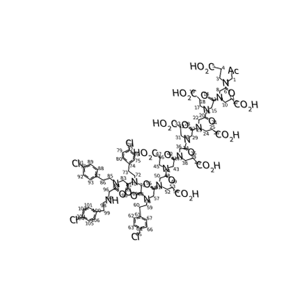 CC(=O)CN(CCC(=O)O)C(=O)CN(CCC(=O)O)C(=O)CN(CCC(=O)O)C(=O)CN(CCC(=O)O)C(=O)CN(CCC(=O)O)C(=O)CN(CCC(=O)O)C(=O)CN(CCC(=O)O)C(=O)CN(CCC(=O)O)C(=O)CN(CCc1ccc(Cl)cc1)C(=O)CN(CCc1ccc(Cl)cc1)C(=O)CN(CCc1ccc(Cl)cc1)C(=O)CNCCc1ccc(Cl)cc1